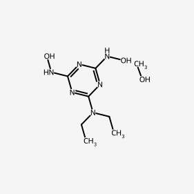 CCN(CC)c1nc(NO)nc(NO)n1.CO